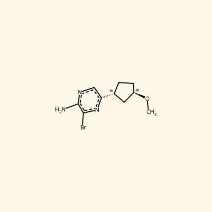 CO[C@@H]1CC[C@@H](c2cnc(N)c(Br)n2)C1